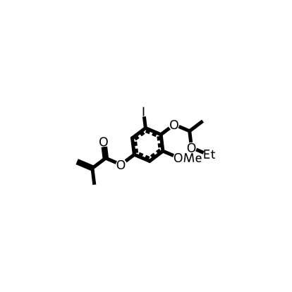 C=C(C)C(=O)Oc1cc(I)c(OC(C)OCC)c(OC)c1